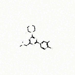 C[C@H]1COCCN1c1cc(C[S+](C)[O-])nc(-c2ccc(N)c(F)c2)n1